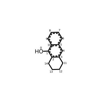 Oc1c2c(cc3ccccc13)CCCC2